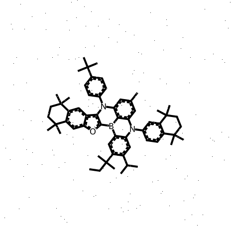 CCC(C)(C)c1cc2c(cc1C(C)C)N(c1ccc3c(c1)C(C)(C)CCC3(C)C)c1cc(C)cc3c1B2c1oc2cc4c(cc2c1N3c1ccc(C(C)(C)C)cc1)C(C)(C)CCC4(C)C